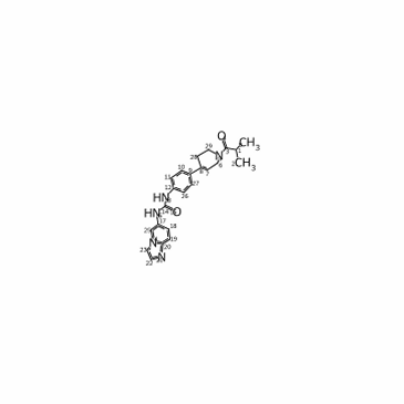 CC(C)C(=O)N1CC=C(c2ccc(NC(=O)Nc3ccc4nccn4c3)cc2)CC1